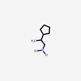 CCN([CH]C(C)C1CCCC1)CC